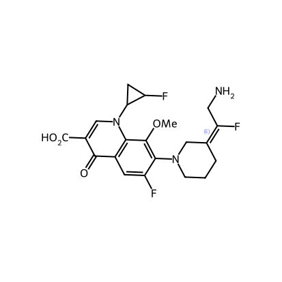 COc1c(N2CCC/C(=C(\F)CN)C2)c(F)cc2c(=O)c(C(=O)O)cn(C3CC3F)c12